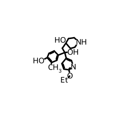 CCOc1ccc(C(O)(CC2(O)CCNCC2)c2ccc(O)c(C)c2)cn1